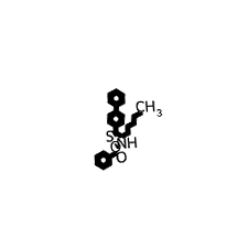 CCCCCCC(NOC(=O)c1ccccc1)C(=S)c1ccc(-c2ccccc2)cc1